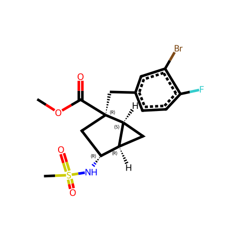 COC(=O)[C@]1(Cc2ccc(F)c(Br)c2)C[C@@H](NS(C)(=O)=O)[C@@H]2C[C@@H]21